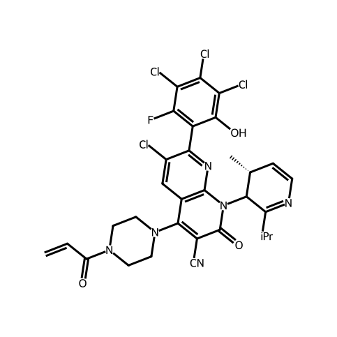 C=CC(=O)N1CCN(c2c(C#N)c(=O)n(C3C(C(C)C)=NC=C[C@H]3C)c3nc(-c4c(O)c(Cl)c(Cl)c(Cl)c4F)c(Cl)cc23)CC1